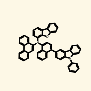 c1ccc(-n2c3ccccc3c3cc(-c4ccc(N(c5cc6ccccc6c6ccccc56)c5cccc6c5oc5ccccc56)c5ccccc45)ccc32)cc1